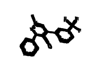 Cn1cc(-c2cccc(C(F)(F)F)c2)c(=O)c(-c2ccccc2)n1